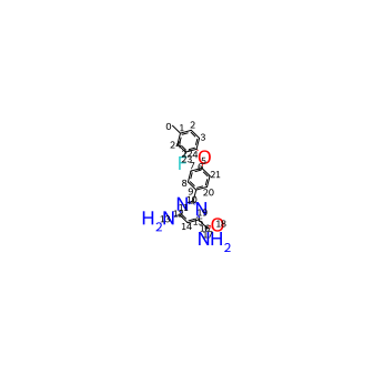 Cc1ccc(Oc2ccc(-c3nc(N)cc(C(N)=O)n3)cc2)c(F)c1